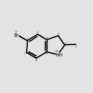 CC1Cc2cc(Br)ccc2N1